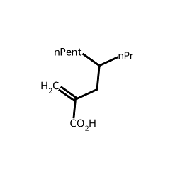 C=C(CC(CCC)CCCCC)C(=O)O